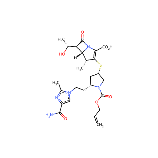 C=CCOC(=O)N1C[C@@H](SC2=C(C(=O)O)N3C(=O)[C@H]([C@@H](C)O)[C@H]3[C@H]2C)C[C@H]1CCn1cc(C(N)=O)nc1C